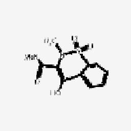 CNC(=O)C1=C(O)c2ccccc2S(=O)(=O)N1C